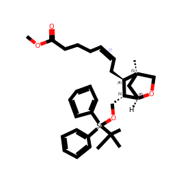 COC(=O)CCC/C=C\C[C@@H]1[C@@H](CO[Si](c2ccccc2)(c2ccccc2)C(C)(C)C)[C@H]2C[C@]1(C)CO2